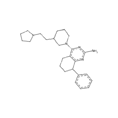 Nc1nc2c(c(N3CCCC(CCN4CCCC4)C3)n1)CCCC2c1ccccc1